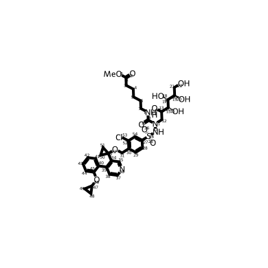 COC(=O)CCCCCNC(=O)N(CC(O)[C@@H](O)[C@H](O)[C@H](O)CO)NS(=O)(=O)c1ccc(COC2(c3cnccc3-c3ccccc3OC3CC3)CC2)c(Cl)c1